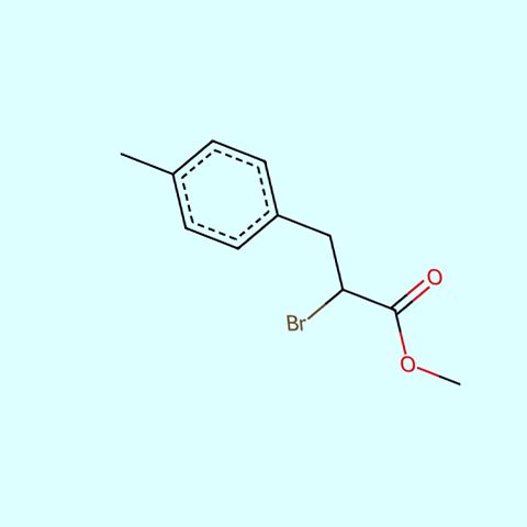 COC(=O)C(Br)Cc1ccc(C)cc1